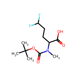 CN(C(=O)OC(C)(C)C)C(CCC(F)F)C(=O)O